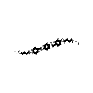 CCCCCOc1ccc(C=Nc2ccc(N=Cc3ccc(OCCCCC)cc3)cc2)cc1